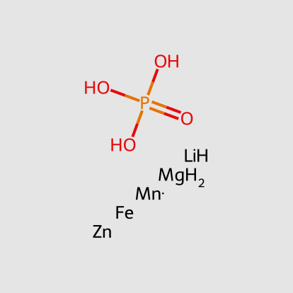 O=P(O)(O)O.[Fe].[LiH].[MgH2].[Mn].[Zn]